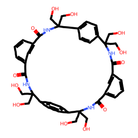 O=C1NC(CO)(CO)c2ccc(cc2)C(CO)(CO)NC(=O)c2cccc(c2)C(=O)NC(CO)(CO)c2ccc(cc2)C(CO)(CO)NC(=O)c2cccc1c2